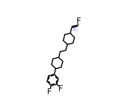 F/C=C/C1CCC(CCC2CCC(c3ccc(F)c(F)c3)CC2)CC1